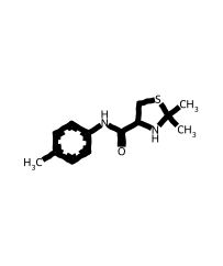 Cc1ccc(NC(=O)C2CSC(C)(C)N2)cc1